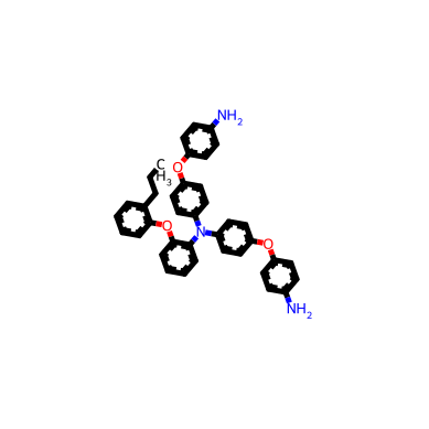 CCCc1ccccc1Oc1ccccc1N(c1ccc(Oc2ccc(N)cc2)cc1)c1ccc(Oc2ccc(N)cc2)cc1